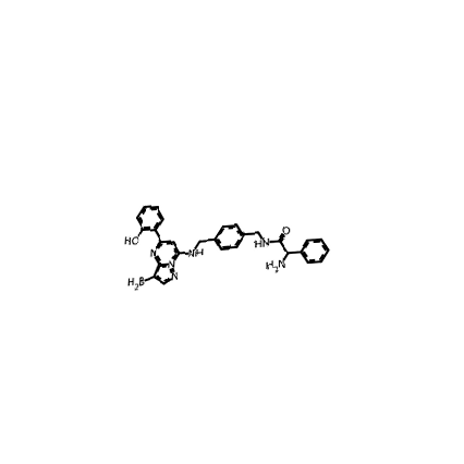 Bc1cnn2c(NCc3ccc(CNC(=O)C(N)c4ccccc4)cc3)cc(-c3ccccc3O)nc12